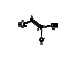 C/N=[P+](\[O-])O